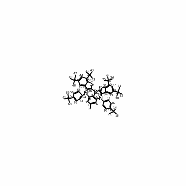 Cc1cc2c3c(c1)N(c1ccc(C(C)(C)C)cc1)c1c(sc4c(C(C)(C)C)cc(C(C)(C)C)cc14)B3c1sc3c(C(C)(C)C)cc(C(C)(C)C)cc3c1N2c1ccc(C(C)(C)C)cc1